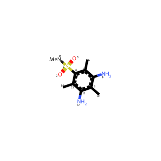 CNS(=O)(=O)c1c(C)c(N)c(C)c(N)c1C